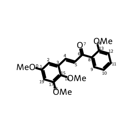 COc1cc(C=CC(=O)c2ccccc2OC)c(OC)c(OC)c1